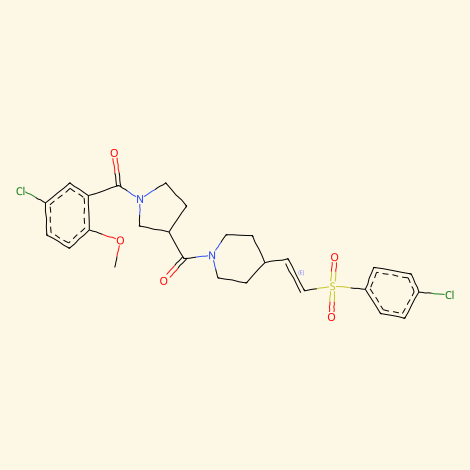 COc1ccc(Cl)cc1C(=O)N1CCC(C(=O)N2CCC(/C=C/S(=O)(=O)c3ccc(Cl)cc3)CC2)C1